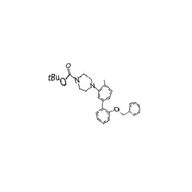 Cc1ccc(-c2ccccc2OCc2ccccc2)cc1N1CCN(C(=O)OC(C)(C)C)CC1